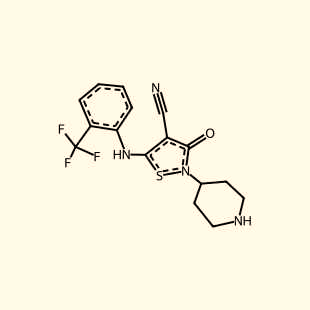 N#Cc1c(Nc2ccccc2C(F)(F)F)sn(C2CCNCC2)c1=O